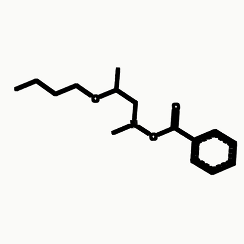 CCCCOC(C)CN(C)OC(=O)c1ccccc1